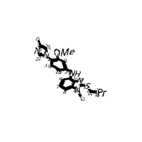 COc1cc(Nc2cccc3c2nc(SCC(C)C)n3C)ccc1-n1cnc(C)c1